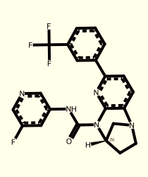 O=C(Nc1cncc(F)c1)N1c2nc(-c3cccc(C(F)(F)F)c3)ccc2N2CC[C@H]1C2